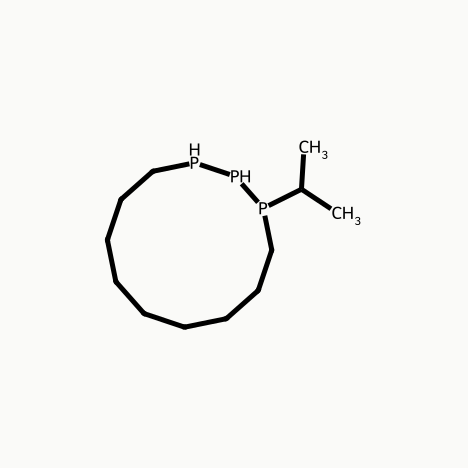 CC(C)P1CCCCCCCCCPP1